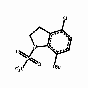 CC(C)(C)c1ccc(Cl)c2c1N(S(C)(=O)=O)CC2